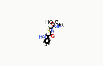 CCC(NC(=O)c1csc(C(=O)c2c[nH]c3ccccc23)n1)C(=O)O